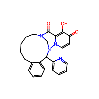 O=C1c2c(O)c(=O)ccn2N2CN1CCCCCc1ccccc1C2c1ccccn1